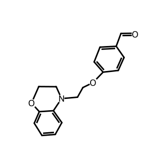 O=Cc1ccc(OCCN2CCOc3ccccc32)cc1